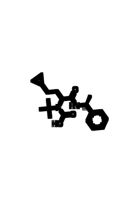 C[C@H](NC(=O)C(CCC1CC1)N(C(=O)O)C(C)(C)C)c1ccccc1